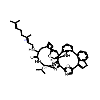 CC(C)=CCC/C(C)=C/CNC1Cc2ccc3c(c2)C24c5cccc(c5N[C@H]2O3)-c2cccc3c2C(=CC3)c2cnc(o2)-c2nc(oc24)[C@H](C(C)C)NC1=O